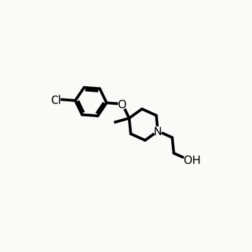 CC1(Oc2ccc(Cl)cc2)CCN(CCO)CC1